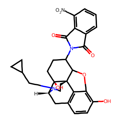 O=C1c2cccc([N+](=O)[O-])c2C(=O)N1C1CC[C@@]2(O)[C@H]3Cc4ccc(O)c5c4[C@@]2(CCN3CC2CC2)C1O5